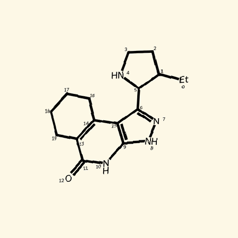 CCC1CCNC1c1n[nH]c2[nH]c(=O)c3c(c12)CCCC3